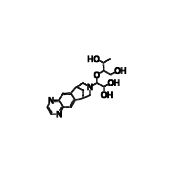 CC(O)C(CO)OC(C(O)O)N1CC2CC(C1)c1cc3nccnc3cc12